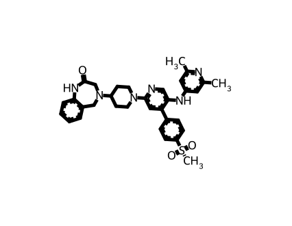 Cc1cc(Nc2cnc(N3CCC(N4CC(=O)Nc5ccccc5C4)CC3)cc2-c2ccc(S(C)(=O)=O)cc2)cc(C)n1